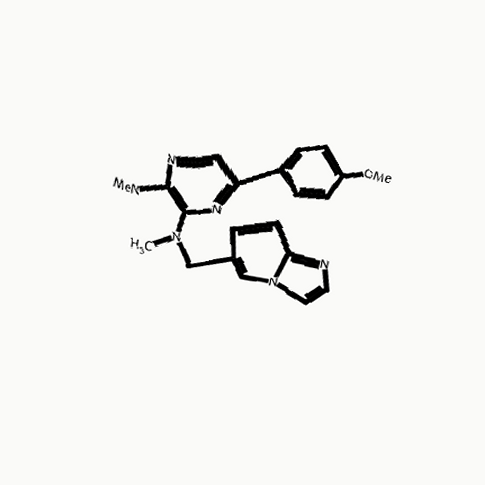 CNc1ncc(-c2ccc(OC)cc2)nc1N(C)Cc1ccc2nccn2c1